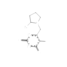 NC1CCCN1Cc1[nH]c(=O)[nH]c(=O)c1Cl